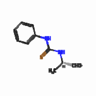 C[C@@H]([C]=O)NC(=S)Nc1ccccc1